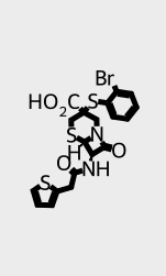 O=C(Cc1cccs1)N[C@@H]1C(=O)N2CC(Sc3ccccc3Br)(C(=O)O)CS[C@H]12